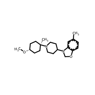 CO[C@H]1CC[C@](C)(N2CCC(N3COc4ccc(C)cc43)CC2)CC1